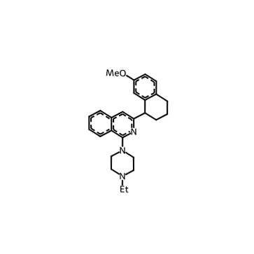 CCN1CCN(c2nc(C3CCCc4ccc(OC)cc43)cc3ccccc23)CC1